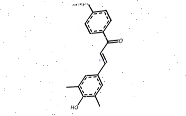 CCCCCCCc1ccc(C(=O)/C=C/c2cc(C)c(O)c(C)c2)cc1